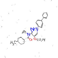 CC(C)N(c1nn(-c2ccc(-c3ccccc3)cc2)cc1OC(=O)O)C(=O)[C@H]1CC[C@H](C)CC1